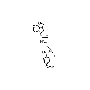 COc1ccc([S+]([O-])N(CCCNC(=O)OC2CC3COC4OCCC2C34)CC(C)C)cc1